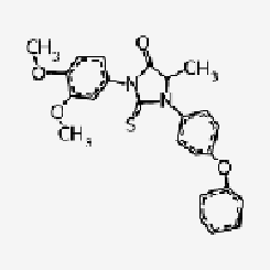 COc1ccc(N2C(=O)C(C)N(c3ccc(Oc4ccccc4)cc3)C2=S)cc1OC